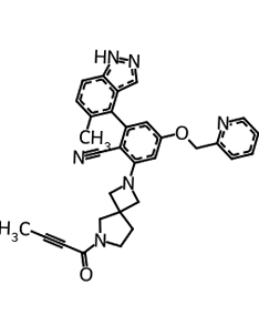 CC#CC(=O)N1CCC2(C1)CN(c1cc(OCc3ccccn3)cc(-c3c(C)ccc4[nH]ncc34)c1C#N)C2